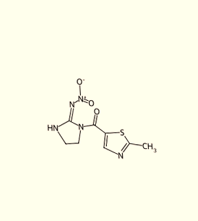 Cc1ncc(C(=O)N2CCN/C2=N/[N+](=O)[O-])s1